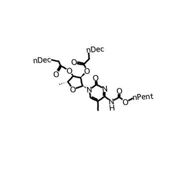 CCCCCCCCCCCC(=O)O[C@@H]1[C@H](OC(=O)CCCCCCCCCCC)[C@@H](C)O[C@H]1n1cc(C)c(NC(=O)OCCCCC)nc1=O